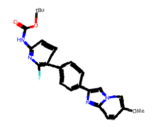 COc1ccc2nc(-c3ccc(-c4ccc(NC(=O)OC(C)(C)C)nc4F)cc3)cn2c1